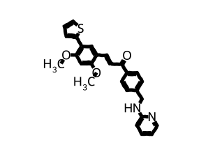 COc1cc(OC)c(-c2cccs2)cc1/C=C/C(=O)c1ccc(CNc2ccccn2)cc1